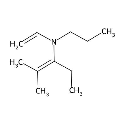 C=CN(CCC)C(CC)=C(C)C